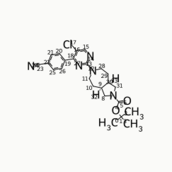 CC(C)(C)OC(=O)N1C[C@H]2CCN(c3ncc(Cl)c(-c4ccc(C#N)cc4)n3)CC[C@H]2C1